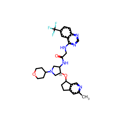 Cc1cc2c(cn1)C(O[C@H]1CN(C3CCOCC3)CC1NC(=O)CNc1ncnc3ccc(C(F)(F)F)cc13)CC2